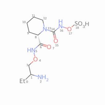 CCC(N)CONC(=O)[C@@H]1CCCCN1C(=O)NOS(=O)(=O)O